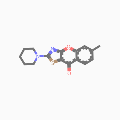 Cc1ccc2c(=O)c3sc(N4CCCCC4)nc3oc2c1